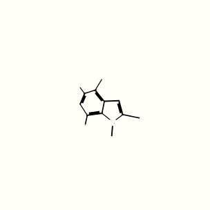 Cc1cc2c(F)c(O)cc(F)c2n1C